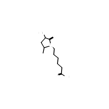 CC(C)C(=O)CCCCCN1C(=O)C(C(C)C)CC1C